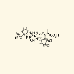 N#CN=C(Nc1cccc(OC(F)F)c1F)N1CC(CCNC(=O)O)C(c2ccc(Cl)c(Cl)c2)=N1